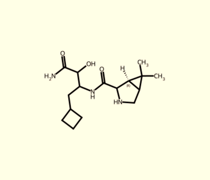 CC1(C)C2CNC(C(=O)NC(CC3CCC3)C(O)C(N)=O)[C@H]21